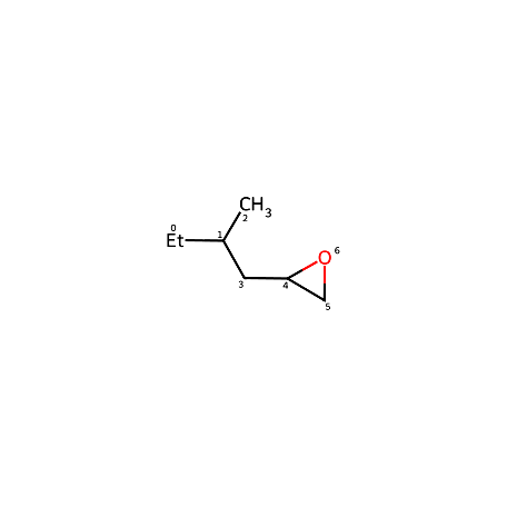 CCC(C)CC1CO1